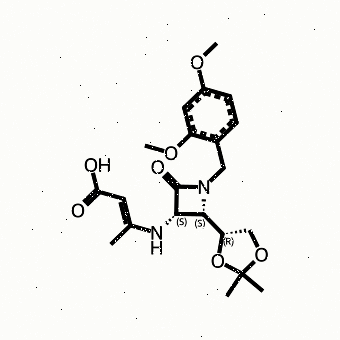 COc1ccc(CN2C(=O)[C@@H](NC(C)=CC(=O)O)[C@H]2[C@@H]2COC(C)(C)O2)c(OC)c1